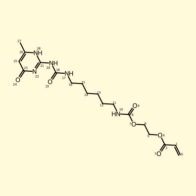 C=CC(=O)OCCOC(=O)NCCCCCCNC(=O)Nc1nc(=O)cc(C)[nH]1